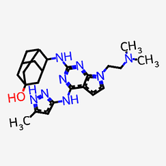 Cc1cc(Nc2nc(NC3C4CC5CC3CC(O)(C5)C4)nc3c2ccn3CCN(C)C)n[nH]1